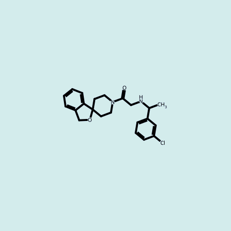 CC(NCC(=O)N1CCC2(CC1)OCc1ccccc12)c1cccc(Cl)c1